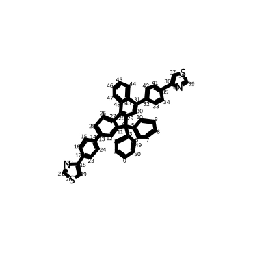 c1ccc(C2(c3ccccc3)c3cc(-c4ccc(-c5cscn5)cc4)ccc3-c3c2cc(-c2ccc(-c4cscn4)cc2)c2ccccc32)cc1